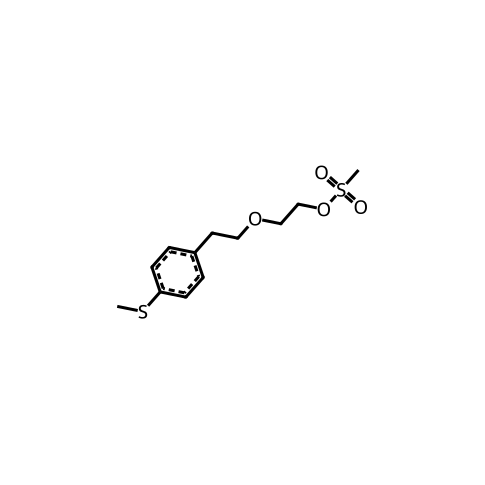 CSc1ccc(CCOCCOS(C)(=O)=O)cc1